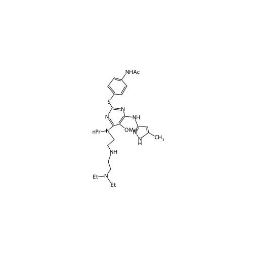 CCCN(CCNCCN(CC)CC)c1nc(Sc2ccc(NC(C)=O)cc2)nc(Nc2cc(C)[nH]n2)c1OC